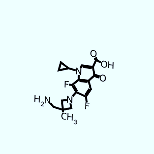 CC1(CN)CN(c2c(F)cc3c(=O)c(C(=O)O)cn(C4CC4)c3c2F)C1